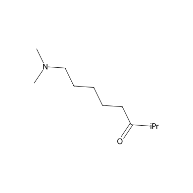 CC(C)C(=O)CCCCCN(C)C